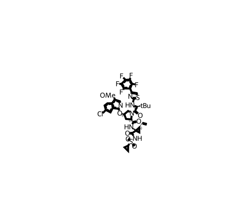 C=C[C@@H]1C[C@]1(NC(=O)[C@@H]1C[C@@H](Oc2ncc(OC)c3ccc(Cl)cc23)CN1C(=O)[C@@H](Nc1nc(-c2c(F)c(F)c(F)c(F)c2F)cs1)C(C)(C)C)C(=O)NS(=O)(=O)C1CC1